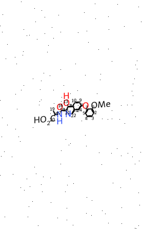 COc1ccccc1Oc1ccc2c(O)c(C(=O)NC(C)C(=O)O)ncc2c1